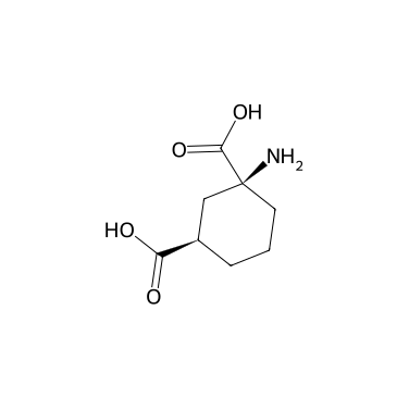 N[C@@]1(C(=O)O)CCC[C@@H](C(=O)O)C1